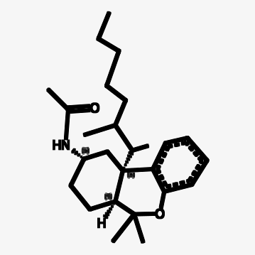 CCCCCC(C)C(C)[C@@]12C[C@@H](NC(C)=O)CC[C@@H]1C(C)(C)Oc1ccccc12